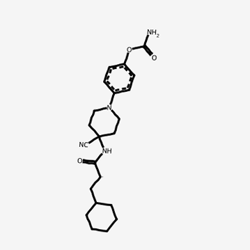 N#CC1(NC(=O)[CH]CC2CCCCC2)CCN(c2ccc(OC(N)=O)cc2)CC1